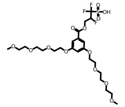 COCCOCCOCCOc1cc(OCCOCCOCCOC)cc(C(=O)OCC(F)C(F)(F)S(=O)(=O)O)c1